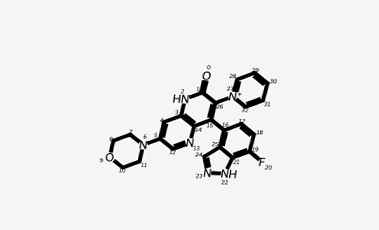 O=c1[nH]c2cc(N3CCOCC3)cnc2c(-c2ccc(F)c3[nH]ncc23)c1-[n+]1ccccc1